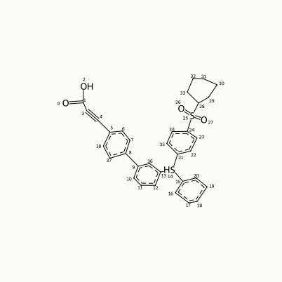 O=C(O)C#Cc1ccc(-c2cccc([SH](c3ccccc3)c3ccc(S(=O)(=O)C4CCCCC4)cc3)c2)cc1